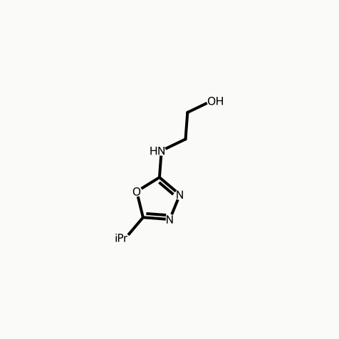 CC(C)c1nnc(NCCO)o1